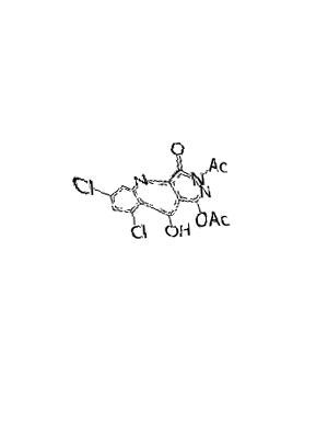 CC(=O)Oc1nn(C(C)=O)c(=O)c2nc3cc(Cl)cc(Cl)c3c(O)c12